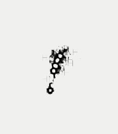 C[C@@H]1c2ccc(CNCCc3ccccc3)c(O)c2C(=O)C2=C(O)[C@@]3(O)C(=O)C(C(N)=O)=C(O)[C@H](N(C)C)[C@H]3[C@H](O)[C@H]21